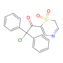 O=C(C1=CN=CCS1(=O)=O)C(Cl)(c1ccccc1)c1ccccc1